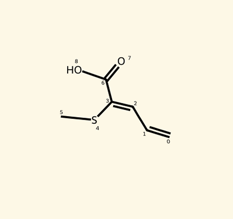 C=CC=C(SC)C(=O)O